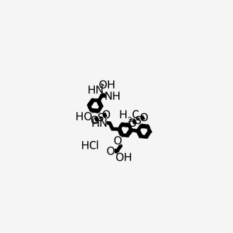 CS(=O)(=O)c1ccccc1-c1ccc(CCNS(=O)(=O)c2cc(C(=N)NO)ccc2O)c(OCC(=O)O)c1.Cl